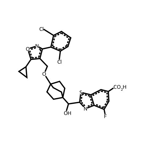 O=C(O)c1cc(F)c2nc(C(O)C34CCC(OCc5c(-c6c(Cl)cccc6Cl)noc5C5CC5)(CC3)CC4)sc2c1